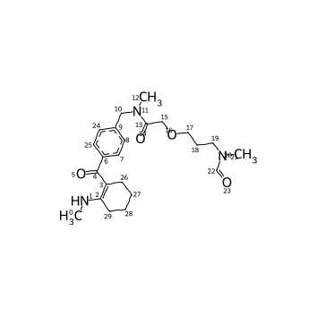 CNC1=C(C(=O)c2ccc(CN(C)C(=O)COCCCN(C)C=O)cc2)CCCC1